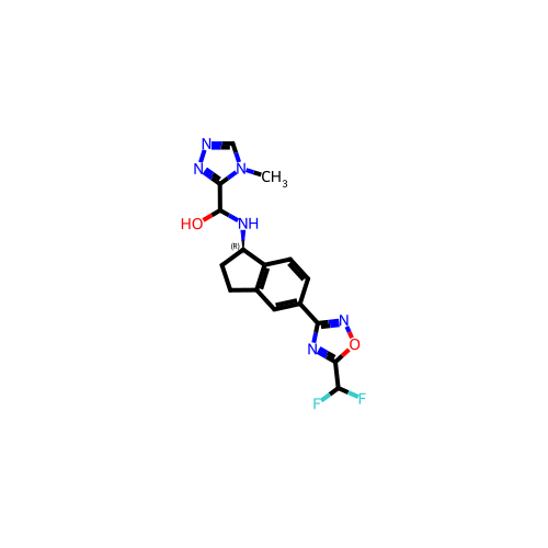 Cn1cnnc1C(O)N[C@@H]1CCc2cc(-c3noc(C(F)F)n3)ccc21